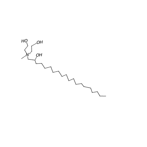 CCCCCCCCCCCCCCCCCCC(O)C[N+](C)(CCO)CCO